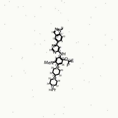 CNc1cc(Nc2cc(-c3ccc4c(cnn4C)c3)ncn2)c(OC(F)F)cc1N1CCC(N2CCN(C(C)C)CC2)CC1